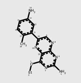 CCOc1nc(N)nc2ncc(-c3cc(N)ccc3C)nc12